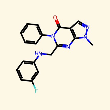 Cn1ncc2c(=O)n(-c3ccccc3)c(CNc3cccc(F)c3)nc21